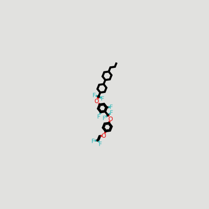 CCCC1CCC(C2CCC(C(F)(F)Oc3cc(F)c(C(F)(F)Oc4ccc(OC=C(F)F)cc4)c(F)c3)CC2)CC1